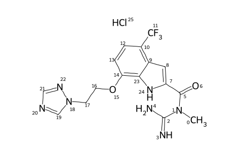 CN(C(=N)N)C(=O)c1cc2c(C(F)(F)F)ccc(OCCn3cncn3)c2[nH]1.Cl